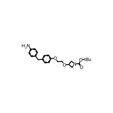 CC(C)(C)OC(=O)N1CC(OCCOc2ccc(Cc3ccc(N)cc3)cc2)C1